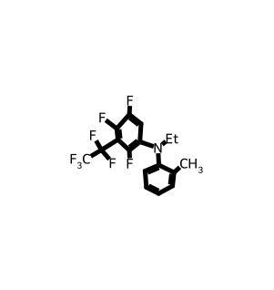 CCN(c1ccccc1C)c1cc(F)c(F)c(C(F)(F)C(F)(F)F)c1F